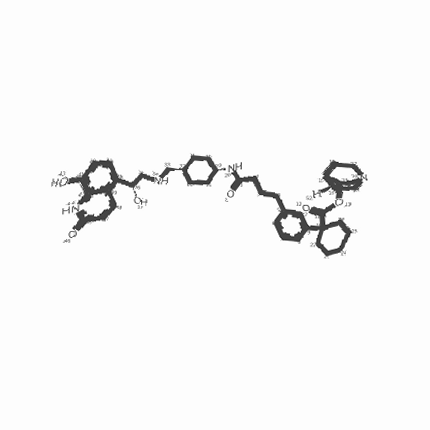 O=C(CCCc1cccc(C2(C(=O)O[C@H]3CN4CCC3CC4)CCCCC2)c1)N[C@H]1CC[C@H](CNC[C@H](O)c2ccc(O)c3[nH]c(=O)ccc23)CC1